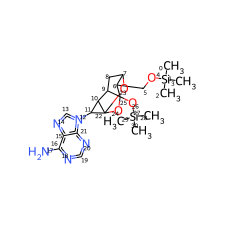 C[Si](C)(C)OCC1C2CC3C4C(n5cnc6c(N)ncnc65)C4(O2)OC13O[Si](C)(C)C